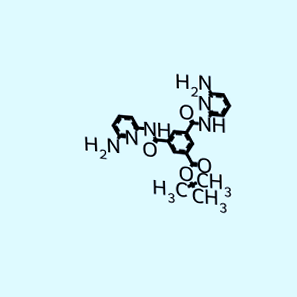 CC(C)(C)OC(=O)c1cc(C(=O)Nc2cccc(N)n2)cc(C(=O)Nc2cccc(N)n2)c1